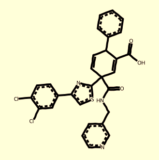 O=C(O)C1=CC(C(=O)NCc2cccnc2)(c2nc(-c3ccc(Cl)c(Cl)c3)cs2)C=CC1c1ccccc1